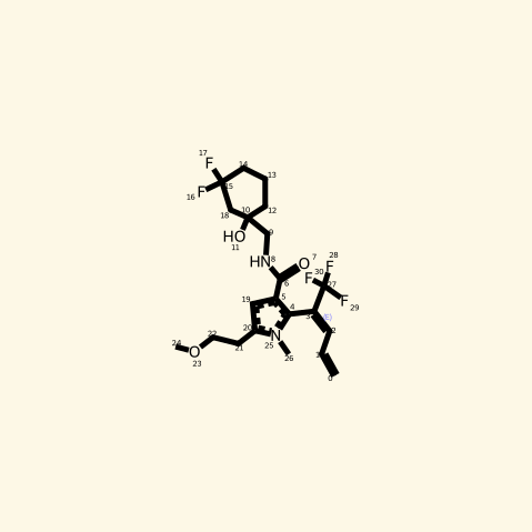 C=C/C=C(\c1c(C(=O)NCC2(O)CCCC(F)(F)C2)cc(CCOC)n1C)C(F)(F)F